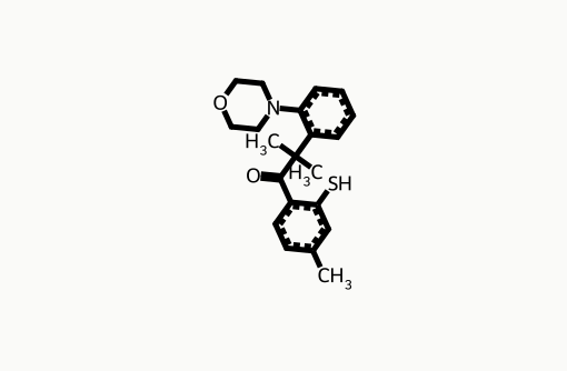 Cc1ccc(C(=O)C(C)(C)c2ccccc2N2CCOCC2)c(S)c1